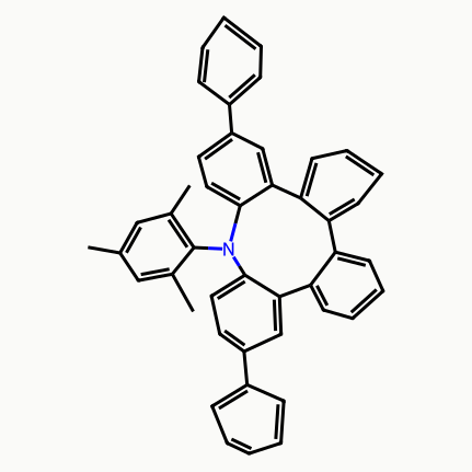 Cc1cc(C)c(-n2c3ccc(-c4ccccc4)cc3c3ccccc3c3ccccc3c3cc(-c4ccccc4)ccc32)c(C)c1